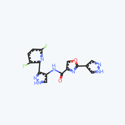 O=C(Nc1c[nH]nc1-c1nc(F)ccc1F)c1coc(-c2cn[nH]c2)n1